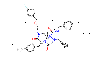 C#CCN1CC(=O)N2[C@@H](Cc3ccc(C)cc3)C(=O)N(CCOCc3ccc(F)cc3)C[C@@H]2N1C(=O)NCc1ccccc1